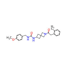 COc1ccc(CNC(=O)NC2CC3(C2)CN(C(=O)Cc2ccccc2C)C3)cc1